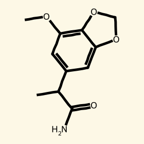 COc1cc(C(C)C(N)=O)cc2c1OCO2